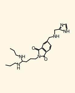 CCCNC(CCCN1C(=O)c2ccc(CNCc3ncc[nH]3)cc2C1=O)NCCC